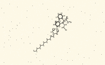 CCCCCCCCCCCC[C@H]1CO[C@H](c2ccc(-c3ccccc3C(CCCC)C(F)CC)nc2)OC1